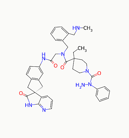 CCC1(C(=O)N(CC(=O)Nc2ccc3c(c2)C[C@@]2(C3)C(=O)Nc3ncccc32)Cc2ccccc2CNC)CCN(C(=O)N(N)c2ccccc2)CC1